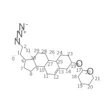 C[C@H](CN=[N+]=[N-])C1CCC2C3CC=C4CC(OC5CCCCO5)CC[C@]4(C)C3CC[C@@]21C